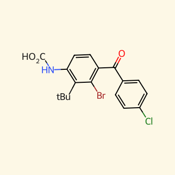 CC(C)(C)c1c(NC(=O)O)ccc(C(=O)c2ccc(Cl)cc2)c1Br